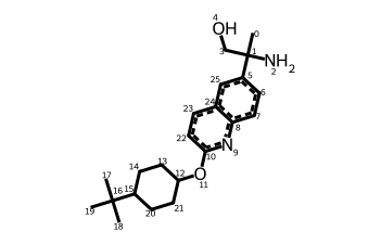 CC(N)(CO)c1ccc2nc(OC3CCC(C(C)(C)C)CC3)ccc2c1